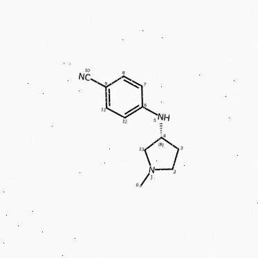 CN1CC[C@@H](Nc2ccc(C#N)cc2)C1